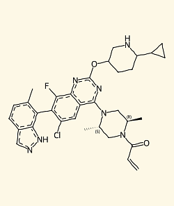 C=CC(=O)N1C[C@H](C)N(c2nc(OC3CCC(C4CC4)NC3)nc3c(F)c(-c4c(C)ccc5cn[nH]c45)c(Cl)cc23)C[C@H]1C